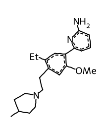 CCc1cc(-c2cccc(N)n2)c(OC)cc1CCN1CCC(C)CC1